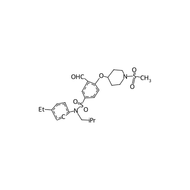 CCc1ccc(N(CC(C)C)S(=O)(=O)c2ccc(OC3CCN(S(C)(=O)=O)CC3)c(C=O)c2)cc1